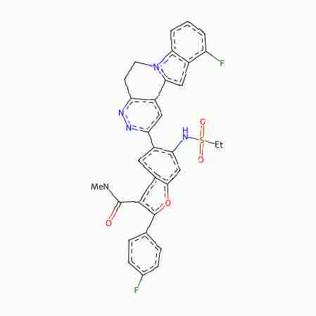 CCS(=O)(=O)Nc1cc2oc(-c3ccc(F)cc3)c(C(=O)NC)c2cc1-c1cc2c(nn1)CCn1c-2cc2c(F)cccc21